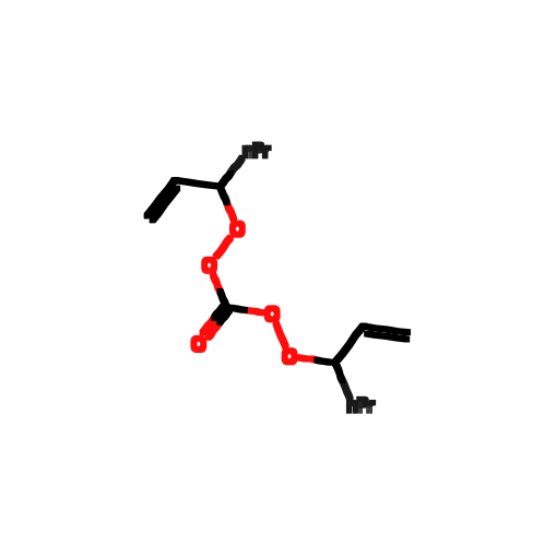 C=CC(CCC)OOC(=O)OOC(C=C)CCC